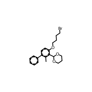 Cc1c(-c2ccccc2)ccc(OCCCCBr)c1C1OCCCO1